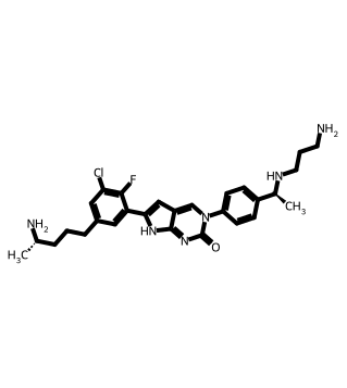 C[C@H](N)CCCc1cc(Cl)c(F)c(-c2cc3cn(-c4ccc([C@H](C)NCCCN)cc4)c(=O)nc3[nH]2)c1